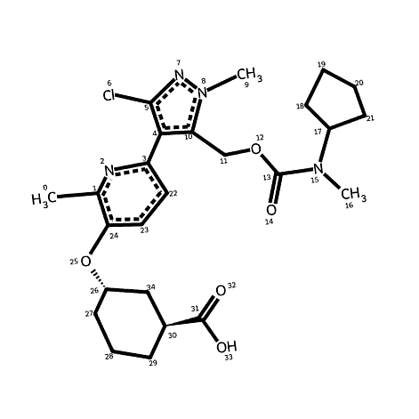 Cc1nc(-c2c(Cl)nn(C)c2COC(=O)N(C)C2CCCC2)ccc1O[C@H]1CCC[C@H](C(=O)O)C1